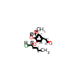 CCCCCCl.COc1cc(CC=O)cc(OC)c1OC